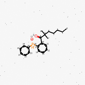 CCCCCC(C)(C)C(=O)c1ccccc1[PH](=O)c1ccccc1